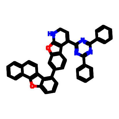 C1=C(c2nc(-c3ccccc3)nc(-c3ccccc3)n2)c2c(oc3cc(-c4cccc5oc6c7ccccc7ccc6c45)ccc23)NC1